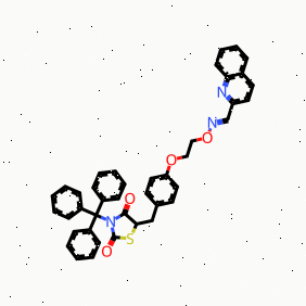 O=C1SC(Cc2ccc(OCCON=Cc3ccc4ccccc4n3)cc2)C(=O)N1C(c1ccccc1)(c1ccccc1)c1ccccc1